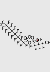 O=S(=O)(OS(=O)(=O)C(F)(F)C(F)(F)C(F)(F)C(F)(F)C(F)(F)C(F)(F)C(F)(F)C(F)(F)F)C(F)(F)C(F)(F)C(F)(F)C(F)(F)F